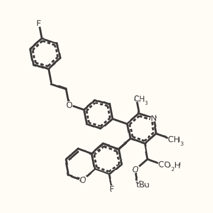 Cc1nc(C)c(C(OC(C)(C)C)C(=O)O)c(-c2cc(F)c3c(c2)C=CCO3)c1-c1ccc(OCCc2ccc(F)cc2)cc1